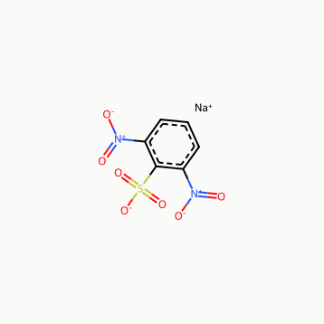 O=[N+]([O-])c1cccc([N+](=O)[O-])c1S(=O)(=O)[O-].[Na+]